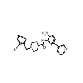 Nc1ccc(-c2cccnc2)nc1NC(=O)C1CCN(Cc2ccccc2F)CC1